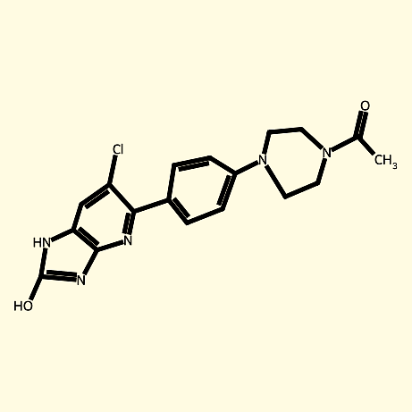 CC(=O)N1CCN(c2ccc(-c3nc4nc(O)[nH]c4cc3Cl)cc2)CC1